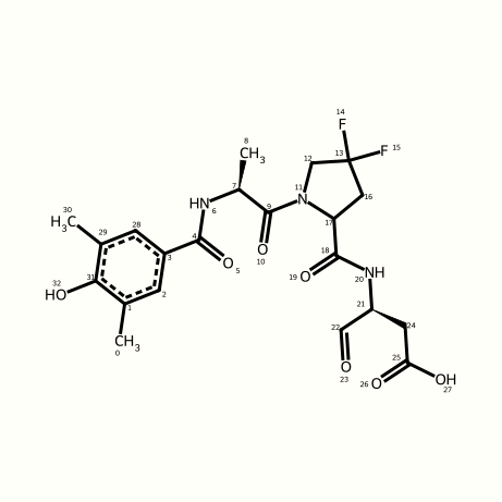 Cc1cc(C(=O)N[C@@H](C)C(=O)N2CC(F)(F)CC2C(=O)N[C@H](C=O)CC(=O)O)cc(C)c1O